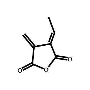 C=C1C(=O)OC(=O)/C1=C/C